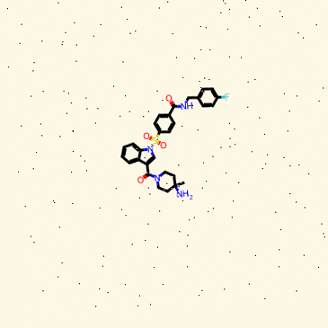 CC1(N)CCN(C(=O)c2cn(S(=O)(=O)c3ccc(C(=O)NCc4ccc(F)cc4)cc3)c3ccccc23)CC1